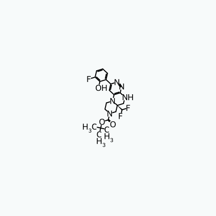 CC(C)(C)OC(=O)N1CCN2c3cc(-c4cccc(F)c4O)nnc3NC[C@]2(C(F)F)C1